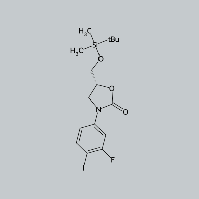 CC(C)(C)[Si](C)(C)OC[C@H]1CN(c2ccc(I)c(F)c2)C(=O)O1